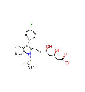 CCn1c(/C=C/[C@@H](O)C[C@@H](O)CC(=O)[O-])c(-c2ccc(F)cc2)c2ccccc21.[Na+]